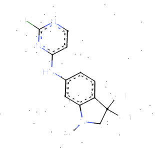 CC(=O)N1CC(C)(C)c2ccc(Nc3ccnc(Cl)n3)cc21